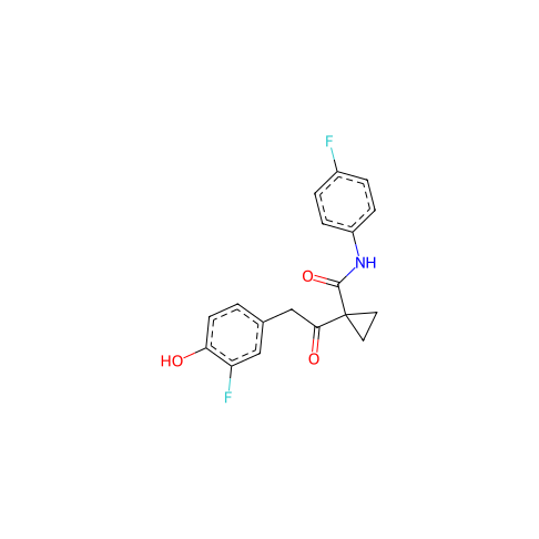 O=C(Cc1ccc(O)c(F)c1)C1(C(=O)Nc2ccc(F)cc2)CC1